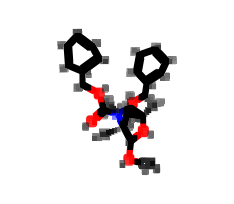 COC1O[C@@H]2CN(C(=O)OCc3ccccc3)[C@H]1[C@H]2OCc1ccccc1